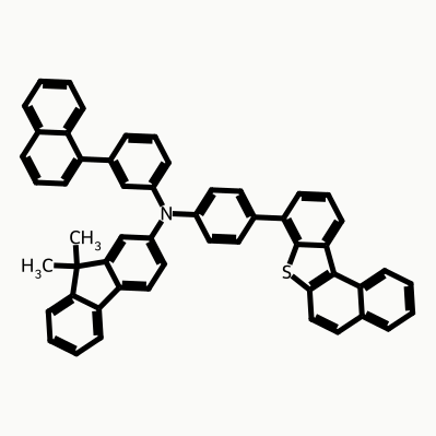 CC1(C)c2ccccc2-c2ccc(N(c3ccc(-c4cccc5c4sc4ccc6ccccc6c45)cc3)c3cccc(-c4cccc5ccccc45)c3)cc21